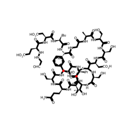 CC[C@H](C)[C@H](NC(=O)[C@H](CC(=O)O)NC(=O)[C@H](CCC(=O)O)NNCC=O)C(=O)N[C@H](C(=O)NCC(=O)N[C@@H](C)C(=O)N[C@@H](CO)C(=O)N[C@@H](CO)C(=O)N[C@@H](CC(=O)O)C(=O)C1N[C@@H](CO)C(=O)N[C@@H]([C@@H](C)O)C(=O)C(N[C@@H](Cc2ccccc2)C(=O)N[C@H](C(=O)N[C@@H](CO)C(=O)N[C@@H](CCC(N)=O)C(=O)N[C@@H](CO)C(=O)NCC=O)C(C)C)SS1)[C@@H](C)CC